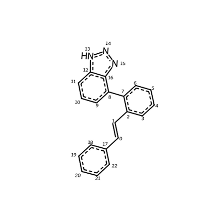 C(=Cc1ccccc1-c1cccc2[nH]nnc12)c1ccccc1